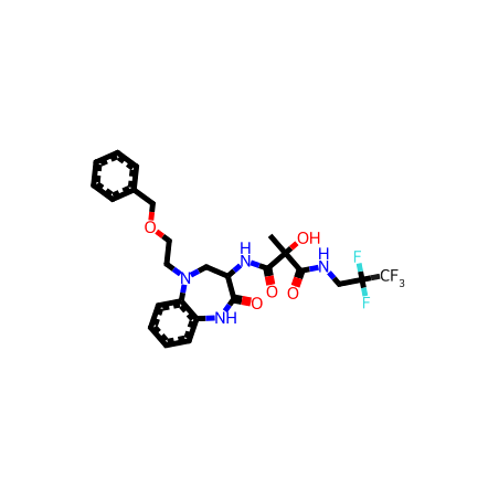 CC(O)(C(=O)NCC(F)(F)C(F)(F)F)C(=O)NC1CN(CCOCc2ccccc2)c2ccccc2NC1=O